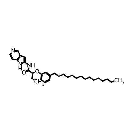 CCCCCCCCCCCCCCCc1cccc(OC(CC)C(=O)Nc2cc3cnccc3[nH]2)c1